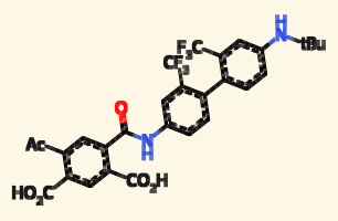 CC(=O)c1cc(C(=O)Nc2ccc(-c3ccc(NC(C)(C)C)cc3C(F)(F)F)c(C(F)(F)F)c2)c(C(=O)O)cc1C(=O)O